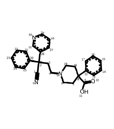 N#CC(CCN1CCC(C(=O)O)(c2ccccc2)CC1)(c1ccccc1)c1cccnc1